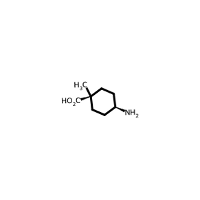 C[C@]1(C(=O)O)CC[C@@H](N)CC1